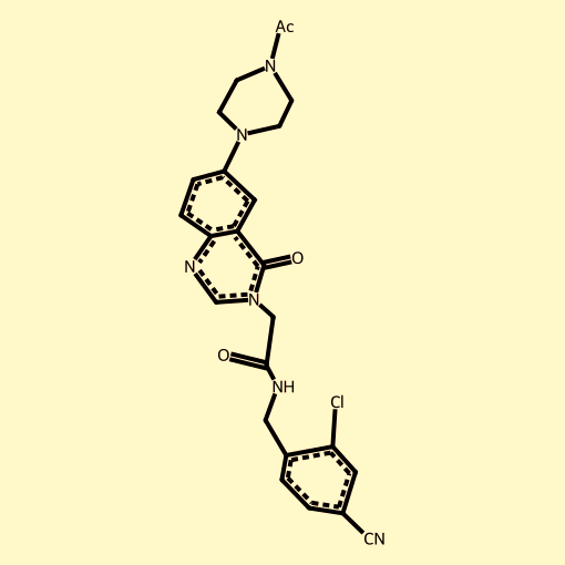 CC(=O)N1CCN(c2ccc3ncn(CC(=O)NCc4ccc(C#N)cc4Cl)c(=O)c3c2)CC1